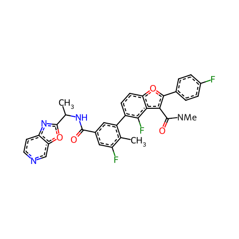 CNC(=O)c1c(-c2ccc(F)cc2)oc2ccc(-c3cc(C(=O)NC(C)c4nc5ccncc5o4)cc(F)c3C)c(F)c12